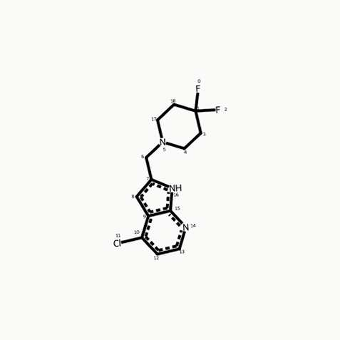 FC1(F)CCN(Cc2cc3c(Cl)ccnc3[nH]2)CC1